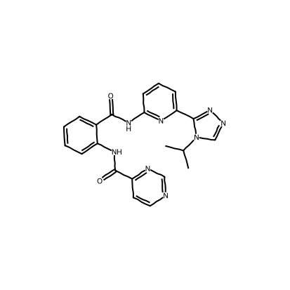 CC(C)n1cnnc1-c1cccc(NC(=O)c2ccccc2NC(=O)c2ccncn2)n1